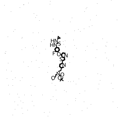 COCCN(CCc1ccc(-c2cc3nccc(Oc4ccc(NC(=S)NC5CC5)cc4F)c3s2)nc1)C(=O)OC(C)(C)C